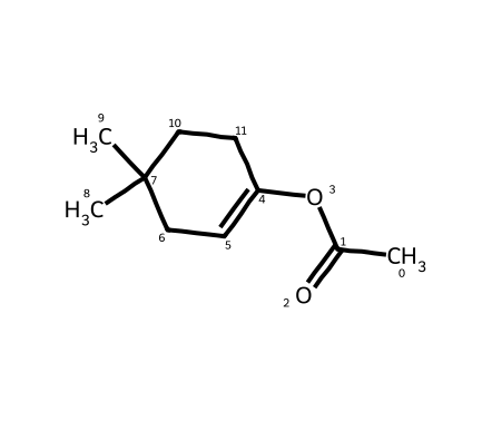 CC(=O)OC1=CCC(C)(C)CC1